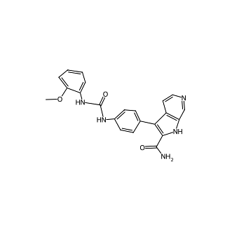 COc1ccccc1NC(=O)Nc1ccc(-c2c(C(N)=O)[nH]c3cnccc23)cc1